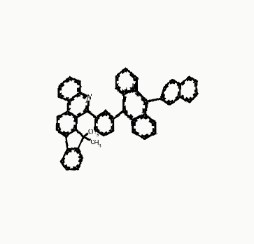 CC1(C)c2ccccc2-c2ccc3c(c(-c4cccc(-c5c6ccccc6c(-c6ccc7ccccc7c6)c6ccccc56)c4)nc4ccccc43)c21